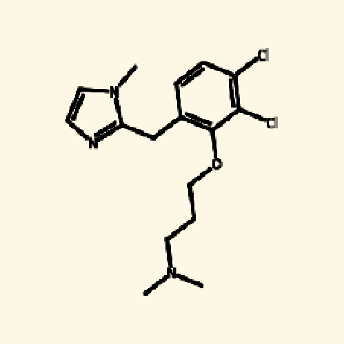 CN(C)CCCOc1c(Cc2nccn2C)ccc(Cl)c1Cl